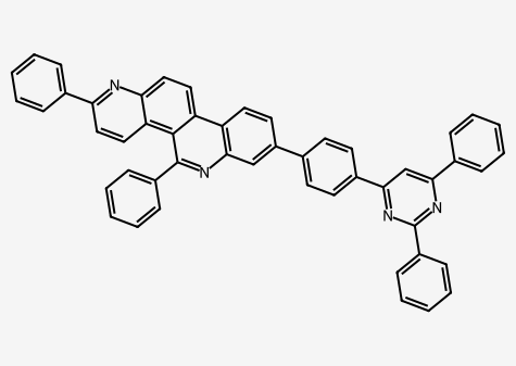 c1ccc(-c2cc(-c3ccc(-c4ccc5c(c4)nc(-c4ccccc4)c4c6ccc(-c7ccccc7)nc6ccc54)cc3)nc(-c3ccccc3)n2)cc1